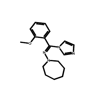 COc1ccccc1C(=NN1CCCCCC1)n1ccnc1